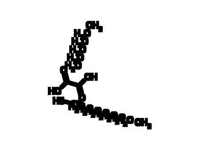 N#CS.O.O.O.O.O.O.O.O.O.O.O.O.O.O.O=C(O)C(=O)O